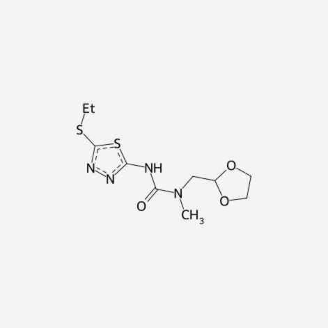 CCSc1nnc(NC(=O)N(C)CC2OCCO2)s1